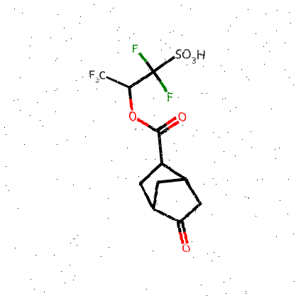 O=C1CC2CC1CC2C(=O)OC(C(F)(F)F)C(F)(F)S(=O)(=O)O